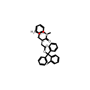 C[C@H](N)[C@H](C)N(C)C(=O)[C@@H](CC(=O)OC(c1ccccc1)(c1ccccc1)c1ccccc1Cl)Cc1ccccc1